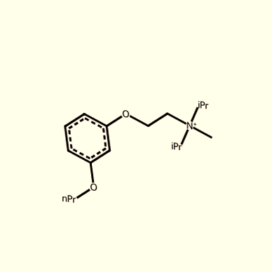 CCCOc1cccc(OCC[N+](C)(C(C)C)C(C)C)c1